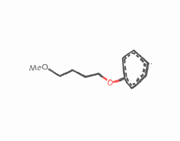 COCCCCOc1cc[c]cc1